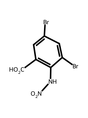 O=C(O)c1cc(Br)cc(Br)c1N[N+](=O)[O-]